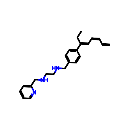 C=C/C=C\C=C(/CC)c1ccc(CNCCNCc2ccccn2)cc1